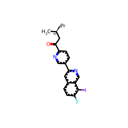 CC(C)[C@H](C)CC(=O)c1ccc(-c2cc3ccc(F)c(I)c3cn2)cn1